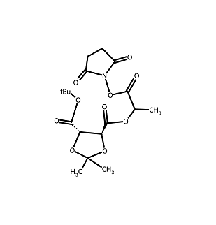 CC(OC(=O)[C@H]1OC(C)(C)O[C@@H]1C(=O)OC(C)(C)C)C(=O)ON1C(=O)CCC1=O